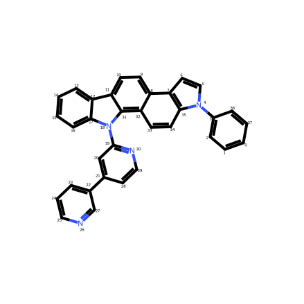 c1ccc(-n2ccc3c4ccc5c6ccccc6n(-c6cc(-c7cccnc7)ccn6)c5c4ccc32)cc1